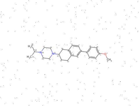 COc1ccc(-c2ccc3c(c2)CCC(N2CCN(C(C)C)CC2)C3)cc1